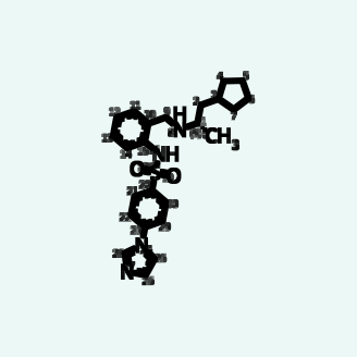 C[C@@H](CC1CCCC1)NCc1ccccc1NS(=O)(=O)c1ccc(-n2ccnc2)cc1